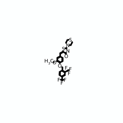 COc1cc(C=C2SC(N3CCSCC3)=NC2=O)ccc1OCc1ccc(C(F)(F)F)cc1C(F)(F)F